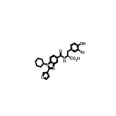 CC(=O)c1cc(C[C@H](NC(=O)c2ccc3c(c2)nc(-c2ccoc2)n3C2CCCCC2)C(=O)O)ccc1O